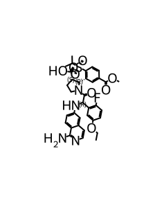 CCOc1ccc(F)c([C@@H](Nc2ccc3c(N)nccc3c2)C(=O)N2CC[C@H](C(=O)O)[C@@H]2c2cc(C(=O)OC)ccc2S(=O)(=O)C(C)C)c1